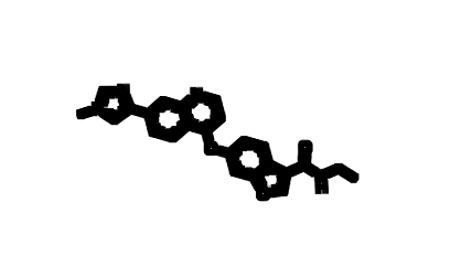 CCNC(=O)c1coc2cc(Oc3ccnc4cc(-c5cn(C)cn5)ccc34)ccc12